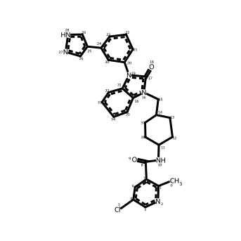 Cc1ncc(Cl)cc1C(=O)NC1CCC(Cn2c(=O)n(-c3cccc(-c4cn[nH]c4)c3)c3ccccc32)CC1